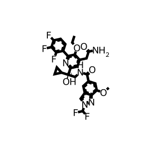 CCOc1c(CC(N)=O)cc([C@@](O)(CNC(=O)c2cc(OC)c3nn(C(F)F)cc3c2)C2CC2)nc1-c1ccc(F)c(F)c1F